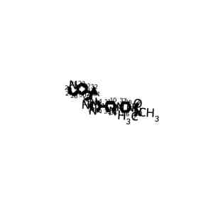 CN(C)C(=O)N1CCN(c2ccc(C3=CN4C(=NCC4C4(c5ccc6ncccc6c5)CC4)N=C3)cn2)CC1